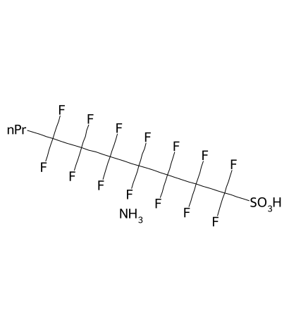 CCCC(F)(F)C(F)(F)C(F)(F)C(F)(F)C(F)(F)C(F)(F)C(F)(F)S(=O)(=O)O.N